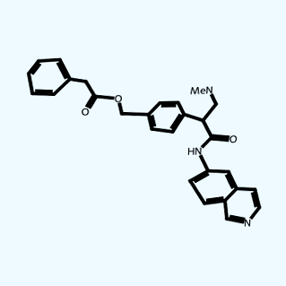 CNCC(C(=O)Nc1ccc2cnccc2c1)c1ccc(COC(=O)Cc2ccccc2)cc1